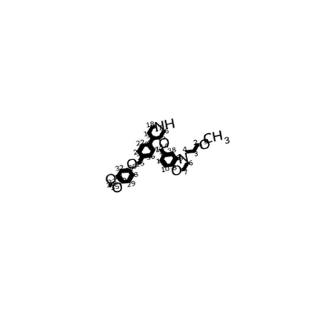 COCCCN1CCOc2ccc(COC3CNCCC3c3ccc(COc4ccc5c(c4)OCO5)cc3)cc21